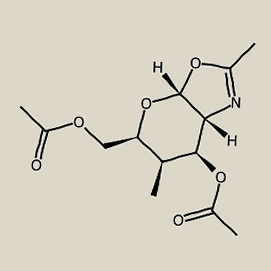 CC(=O)OC[C@H]1O[C@@H]2OC(C)=N[C@@H]2[C@@H](OC(C)=O)[C@H]1C